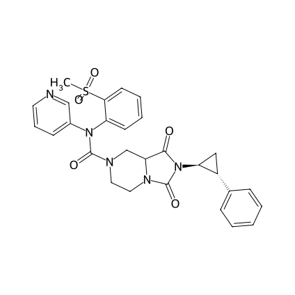 CS(=O)(=O)c1ccccc1N(C(=O)N1CCN2C(=O)N([C@H]3C[C@@H]3c3ccccc3)C(=O)C2C1)c1cccnc1